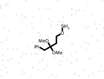 COC(CCO[SiH3])(CC(C)C)OC